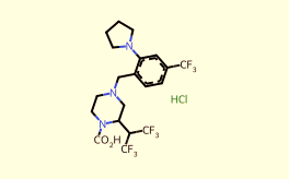 Cl.O=C(O)N1CCN(Cc2ccc(C(F)(F)F)cc2N2CCCC2)CC1C(C(F)(F)F)C(F)(F)F